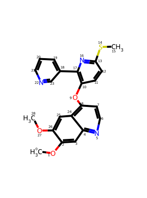 COc1cc2nccc(Oc3ccc(SC)nc3-c3cccnc3)c2cc1OC